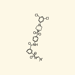 CN(C)C=NS(=O)(=O)c1cccc(C(=O)Nc2ccc(S(=O)(=O)N3CCN(c4cc(Cl)cc(Cl)c4)CC3)cc2)c1